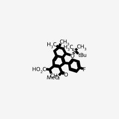 COC(=O)c1c(C(C)C(=O)O)cc2c(c1-c1ccc(F)cc1)C(O[Si](C)(C)C(C)(C)C)CC(C)(C)C2